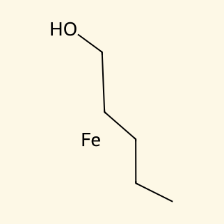 CCCCCO.[Fe]